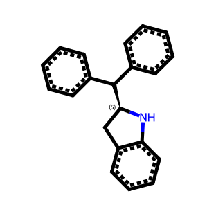 c1ccc(C(c2ccccc2)[C@@H]2Cc3ccccc3N2)cc1